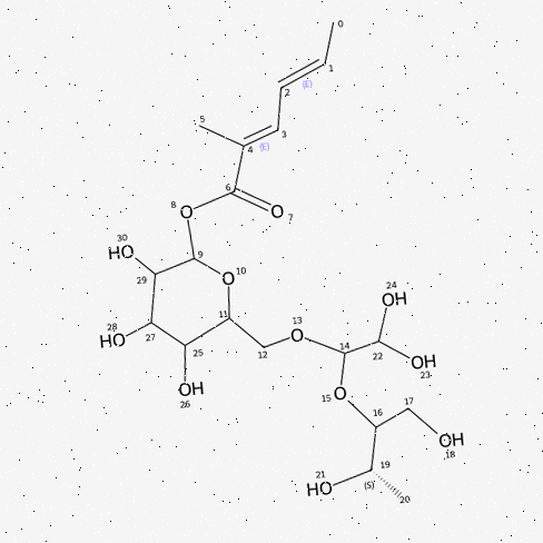 C/C=C/C=C(\C)C(=O)OC1OC(COC(OC(CO)[C@H](C)O)C(O)O)C(O)C(O)C1O